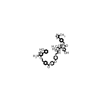 Cc1ncsc1-c1ccc(CNC(=O)[C@@H]2C[C@@H](O)CN2C(=O)[C@@H](NC(=O)CCN2CCC(OC3CCN(C(=O)c4ccc(CCOc5cc(-c6ccccc6O)nnc5N)cc4)CC3)CC2)C(C)(C)C)cc1